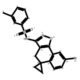 Cc1cccc(S(=O)(=O)Nc2noc3c2CC2(CC2)c2ccc(Br)cc2-3)c1